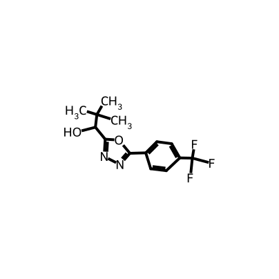 CC(C)(C)C(O)c1nnc(-c2ccc(C(F)(F)F)cc2)o1